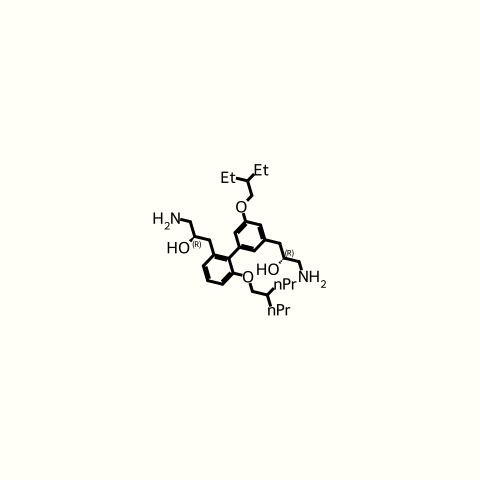 CCCC(CCC)COc1cccc(C[C@@H](O)CN)c1-c1cc(C[C@@H](O)CN)cc(OCC(CC)CC)c1